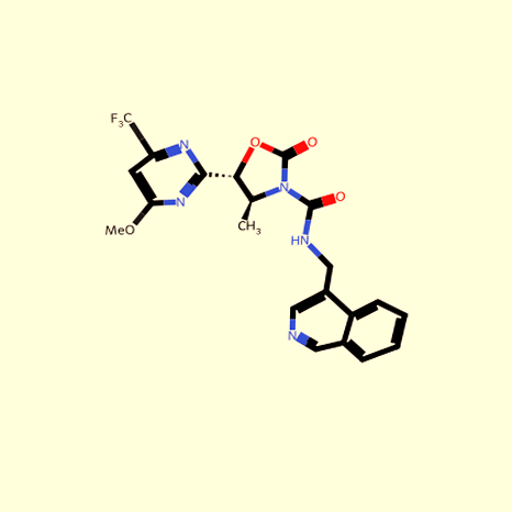 COc1cc(C(F)(F)F)nc([C@@H]2OC(=O)N(C(=O)NCc3cncc4ccccc34)[C@H]2C)n1